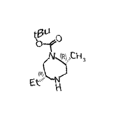 CC[C@@H]1CN(C(=O)OC(C)(C)C)[C@H](C)CN1